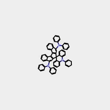 C1=CC(N2c3ccccc3C3(c4ccccc42)c2cc(N(c4ccccc4)c4ccccc4)c4ccccc4c2-c2c3cc(N(c3ccccc3)c3ccccc3)c3ccccc23)=CCC1